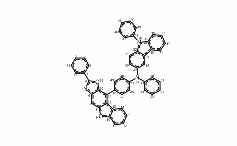 c1ccc(-c2nc3cc4oc5ccccc5c4c(-c4ccc(N(c5ccccc5)c5ccc6c(c5)c5ccccc5n6-c5ccccc5)cc4)c3o2)cc1